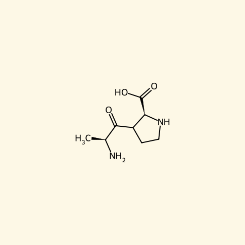 C[C@H](N)C(=O)C1CCN[C@@H]1C(=O)O